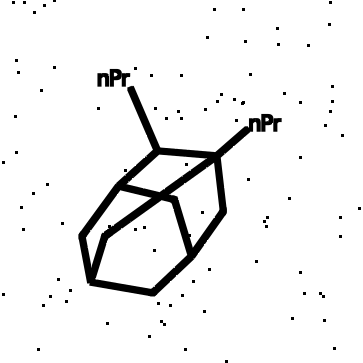 CCCC1C2CC3CC(C2)CC1(CCC)C3